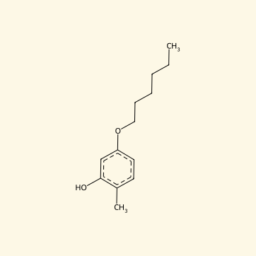 CCCCCCOc1ccc(C)c(O)c1